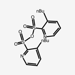 CCCCc1cccnc1S(=O)(=O)OS(=O)(=O)c1ncccc1CCCC